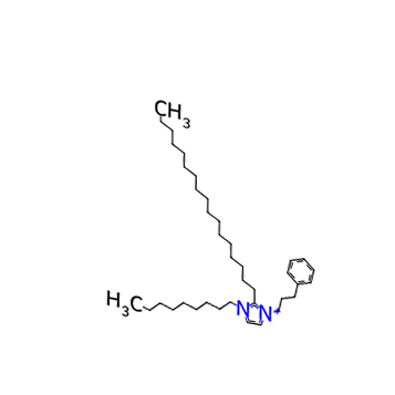 CCCCCCCCCCCCCCCCCc1n(CCCCCCCCC)cc[n+]1CCCc1ccccc1